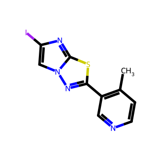 Cc1ccncc1-c1nn2cc(I)nc2s1